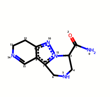 NC(=O)C1CNCc2c3c(nn21)CCN=C3